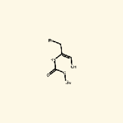 CC(C)CC(=CO)NC(=O)OC(C)(C)C